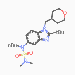 CCCCN(c1ccc2c(c1)nc(C(C)(C)C)n2CC1CCOCC1)S(=O)(=O)N(C)C